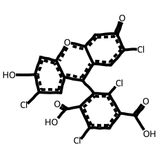 O=C(O)c1cc(Cl)c(C(=O)O)c(-c2c3cc(Cl)c(=O)cc-3oc3cc(O)c(Cl)cc23)c1Cl